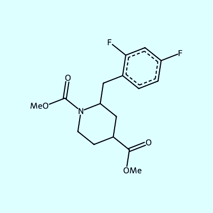 COC(=O)C1CCN(C(=O)OC)C(Cc2ccc(F)cc2F)C1